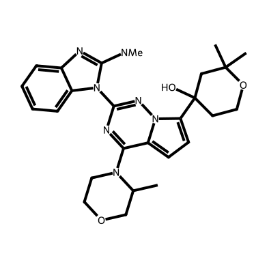 CNc1nc2ccccc2n1-c1nc(N2CCOCC2C)c2ccc(C3(O)CCOC(C)(C)C3)n2n1